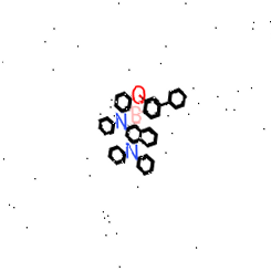 c1ccc(-c2ccc3c(c2)Oc2cccc4c2B3c2c(cc(N(c3ccccc3)c3ccccc3)c3ccccc23)N4c2ccccc2)cc1